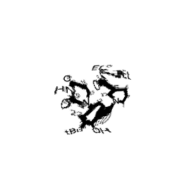 CCN(CC)C(=O)C1CCCN(Cc2cc(N3CCC(=O)NC3=O)cc(C(C)(C)C)c2O)C1